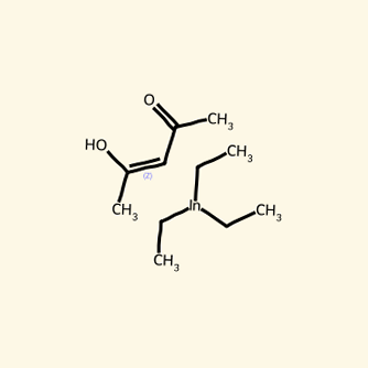 CC(=O)/C=C(/C)O.C[CH2][In]([CH2]C)[CH2]C